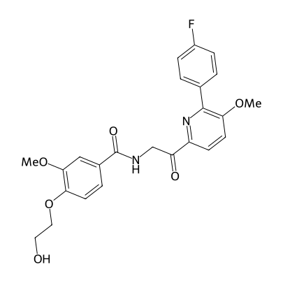 COc1cc(C(=O)NCC(=O)c2ccc(OC)c(-c3ccc(F)cc3)n2)ccc1OCCO